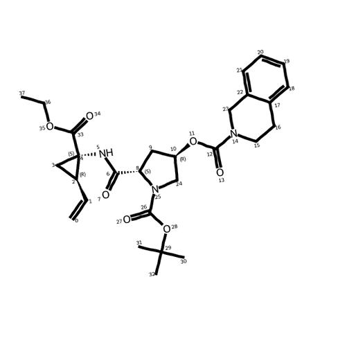 C=C[C@H]1C[C@@]1(NC(=O)[C@@H]1C[C@@H](OC(=O)N2CCc3ccccc3C2)CN1C(=O)OC(C)(C)C)C(=O)OCC